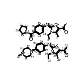 CCn1c(C)c(C(C)=O)sc1=Nc1ccc(C(=O)N2CCCC2)cc1.CCn1c(C)c(C(C)=O)sc1=Nc1ccc(N2CCN(C)CC2)cc1